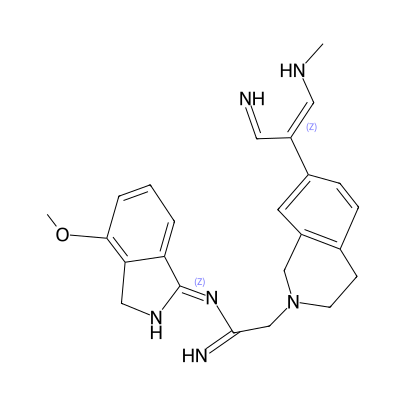 CN/C=C(\C=N)c1ccc2c(c1)CN(CC(=N)/N=C1\NCc3c(OC)cccc31)CC2